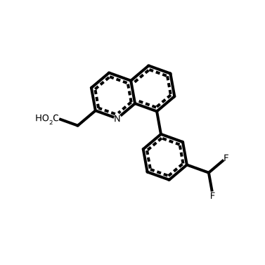 O=C(O)Cc1ccc2cccc(-c3cccc(C(F)F)c3)c2n1